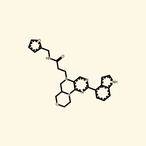 O=C(CCN1CC2COCCN2c2nc(-c3cccc4[nH]ccc34)ncc21)NCc1ccco1